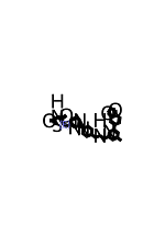 Cc1cc(CNCC2CCN(c3nccc(/C=C4/SC(=O)NC4=O)n3)CC2)nc(-c2ccc3c(c2)OCO3)c1